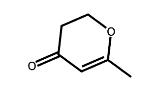 CC1=CC(=O)CCO1